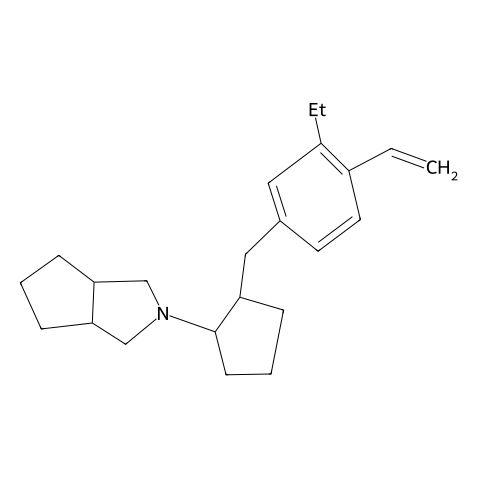 C=Cc1ccc(CC2CCCC2N2CC3CCCC3C2)cc1CC